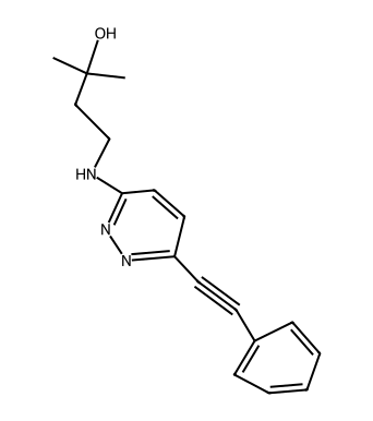 CC(C)(O)CCNc1ccc(C#Cc2ccccc2)nn1